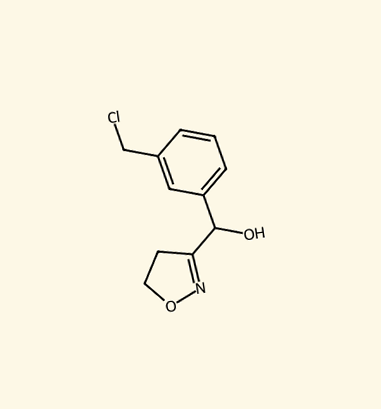 OC(C1=NOCC1)c1cccc(CCl)c1